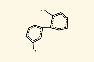 CCCc1ccccc1-c1[c]ccc(CC)c1